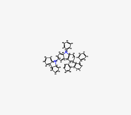 c1ccc(-c2cccc(-c3ccccc3)c2-c2ccc3c(c2)c2cc(-n4c5ccccc5c5ccccc54)ccc2n3-c2ccccc2)cc1